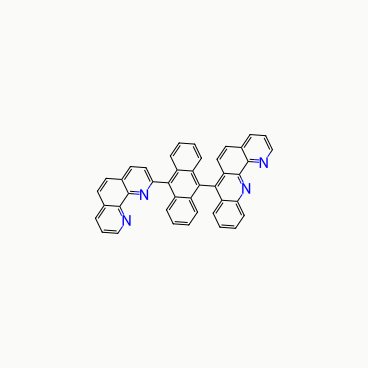 c1cnc2c(c1)ccc1ccc(-c3c4ccccc4c(-c4c5ccccc5nc5c4ccc4cccnc45)c4ccccc34)nc12